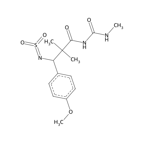 CNC(=O)NC(=O)C(C)(C)C(N=S(=O)=O)c1ccc(OC)cc1